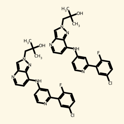 CC(C)(O)Cn1cc2nccc(Nc3ccnc(-c4cc(Cl)ccc4F)c3)c2n1.CC(C)(O)Cn1cc2nccc(Nc3ccnc(-c4cc(Cl)ccc4F)c3)c2n1